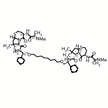 CN[C@@H](C)C(=O)N[C@H]1CCS[C@H]2CC(C)(C)[C@@H](C(=O)N[C@H](COCCCCCCCCOC[C@@H](NC(=O)[C@H]3N4C(=O)[C@@H](NC(=O)[C@H](C)NC)CCS[C@H]4CC3(C)C)c3ccccc3)c3ccccc3)N2C1=O